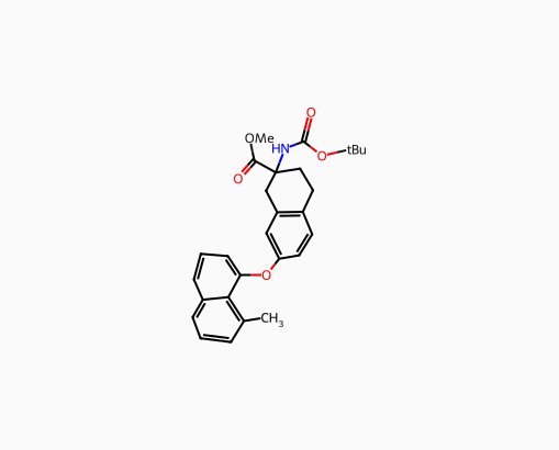 COC(=O)C1(NC(=O)OC(C)(C)C)CCc2ccc(Oc3cccc4cccc(C)c34)cc2C1